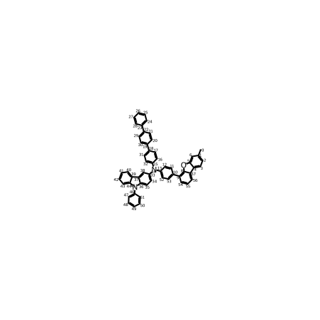 Cc1ccc2c(c1)oc1c(-c3ccc(N(c4ccc(-c5ccc(-c6ccccc6)cc5)cc4)c4ccc5c(c4)c4ccccc4n5-c4ccccc4)cc3)cccc12